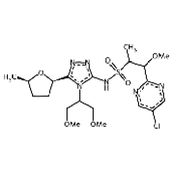 COCC(COC)n1c(NS(=O)(=O)C(C)C(OC)c2ncc(Cl)cn2)nnc1[C@H]1CC[C@@H](C)O1